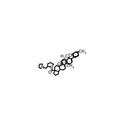 Cc1ccc(C2=CCC3(C)C(CCC4(C)C3CCC3C5CCCC5(C(=O)N5CCCC5CN5CCCC5)CC[C@]34C)C2(C)C)cc1